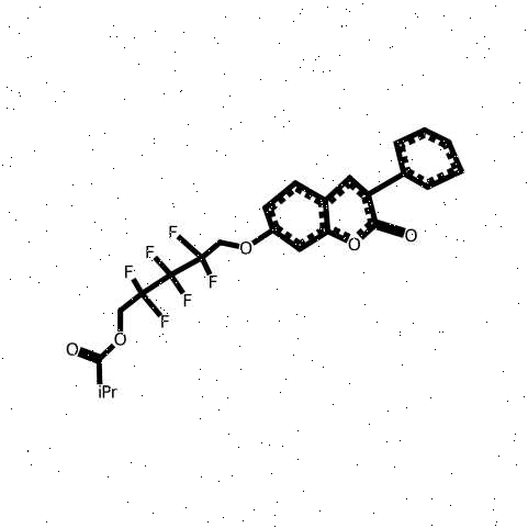 CC(C)C(=O)OCC(F)(F)C(F)(F)C(F)(F)COc1ccc2cc(-c3ccccc3)c(=O)oc2c1